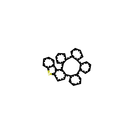 c1ccc2c(c1)sc1ccc3c4ccccc4c4ccccc4c4ccccc4c4ccccc4c3c12